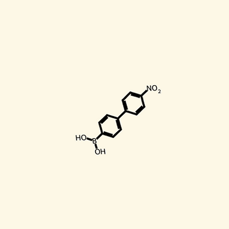 O=[N+]([O-])c1ccc(-c2ccc(B(O)O)cc2)cc1